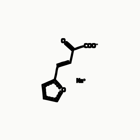 O=C([O-])C(=O)C=Cc1ccco1.[Na+]